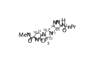 CCCC(=O)Nc1cc(CN2CCN(c3ccc(C(=O)NC)nc3C(F)(F)F)CC2)cnn1